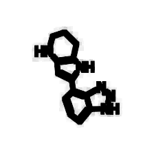 c1cc(-c2cc3c([nH]2)CCCN3)c2nn[nH]c2c1